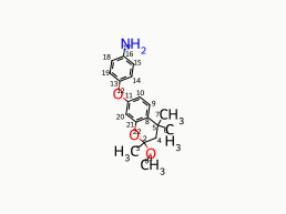 COC1(C)CC(C)(C)c2ccc(Oc3ccc(N)cc3)cc2O1